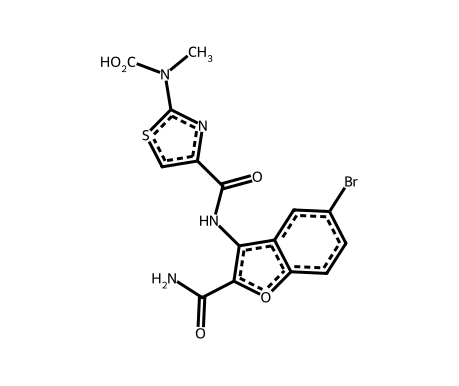 CN(C(=O)O)c1nc(C(=O)Nc2c(C(N)=O)oc3ccc(Br)cc23)cs1